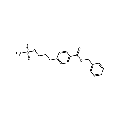 CS(=O)(=O)OCCCc1ccc(C(=O)OCc2ccccc2)cc1